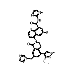 CCc1cc(C(=O)Nc2nccn2C)c2nccc(N3CCc4c(cc(Cn5ccnc5)cc4-c4cn(C)nc4C(F)(F)F)C3=O)c2c1